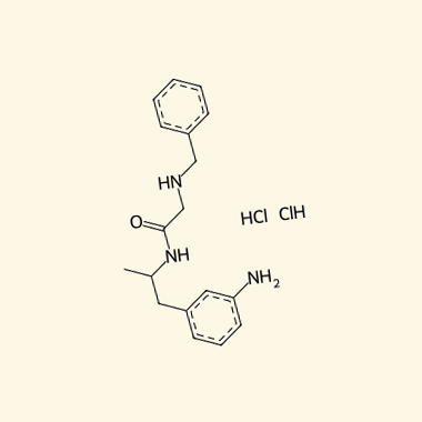 CC(Cc1cccc(N)c1)NC(=O)CNCc1ccccc1.Cl.Cl